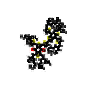 CCCCC(CC)Cc1ccc(-c2c3cc(C(C)(C)CC)sc3c(-c3ccc(CC(CC)CCCC)s3)c3cc(-c4ccc(-c5sc(-c6ccc(C(C)(C)CC)s6)c6c5C(=O)c5c(CC(CC)CCCC)sc(CC(CC)CCCC)c5C6=O)s4)sc23)s1